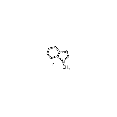 C[n+]1csc2ccccc21.[I-]